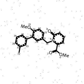 COC(=O)c1cccc(=O)n1Cc1ccc(OC)c(-c2cccc(C)c2)c1